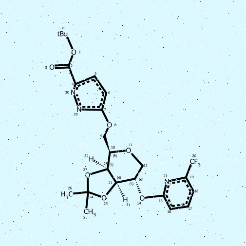 CC(C)(C)OC(=O)c1ccc(OC[C@H]2OC[C@H](Oc3cccc(C(F)(F)F)n3)[C@H]3OC(C)(C)O[C@H]32)nn1